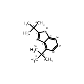 CC(C)(C)c1cc2c(C(C)(C)C)cccc2s1